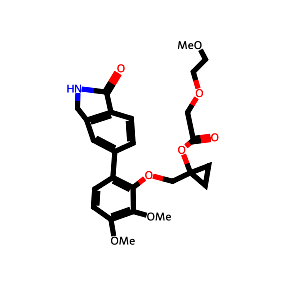 COCCOCC(=O)OC1(COc2c(-c3ccc4c(c3)CNC4=O)ccc(OC)c2OC)CC1